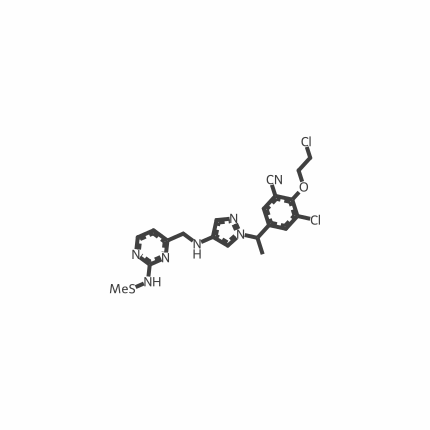 CSNc1nccc(CNc2cnn(C(C)c3cc(Cl)c(OCCCl)c(C#N)c3)c2)n1